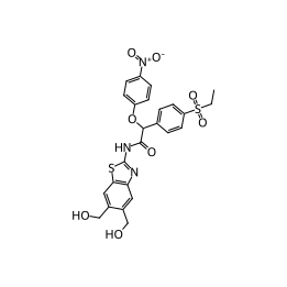 CCS(=O)(=O)c1ccc(C(Oc2ccc([N+](=O)[O-])cc2)C(=O)Nc2nc3cc(CO)c(CO)cc3s2)cc1